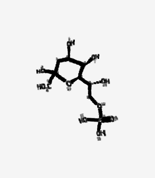 O=C(O)C1(O)C[C@@H](O)[C@@H](O)[C@@H]([C@H](O)COP(=O)(O)O)O1